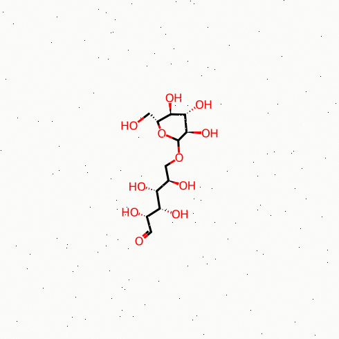 O=C[C@H](O)[C@@H](O)[C@H](O)[C@H](O)COC1O[C@H](CO)[C@@H](O)[C@H](O)[C@H]1O